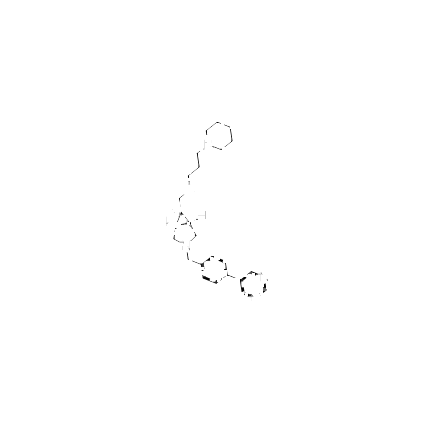 c1ncc(-c2ccc(CN3C[C@@H]4[C@@H](COCCCN5CCCCC5)[C@@H]4C3)cc2)cn1